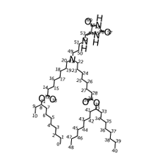 CCCCCCCCC(CC)OC(=O)CCCCCCCN(CCCCCCCC(=O)OC(CCCCCCCC)CCCCCCCC)CCCN/C=C1\NC(=O)NC1=O